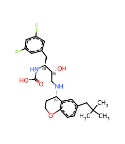 CC(C)(C)Cc1ccc2c(c1)[C@@H](NC[C@@H](O)[C@H](Cc1cc(F)cc(F)c1)NC(=O)O)CCO2